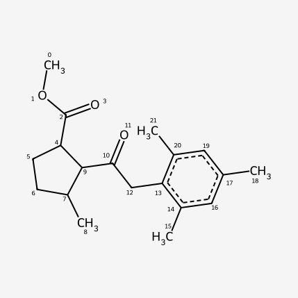 COC(=O)C1CCC(C)C1C(=O)Cc1c(C)cc(C)cc1C